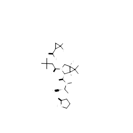 CN(C(=O)[C@@H]1[C@@H]2[C@H](CN1C(=O)[C@@H](NC(=O)C1CC1(F)F)C(C)(C)C)C2(C)C)[C@H](C#N)C[C@@H]1CCNC1=O